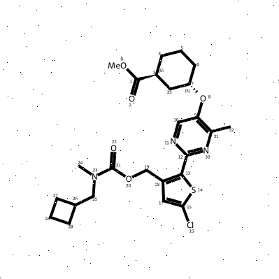 COC(=O)[C@H]1CCC[C@H](Oc2cnc(-c3sc(Cl)cc3COC(=O)N(C)CC3CCC3)nc2C)C1